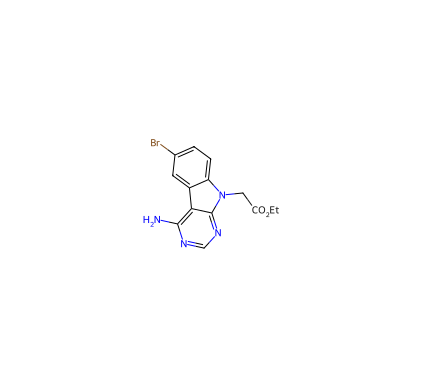 CCOC(=O)Cn1c2ccc(Br)cc2c2c(N)ncnc21